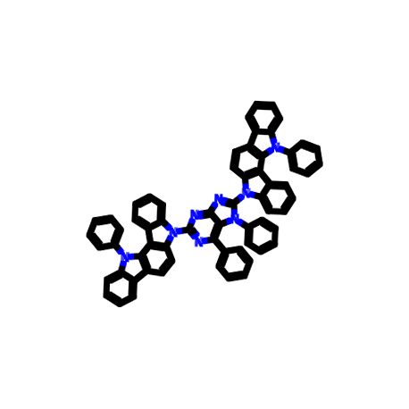 c1ccc(-c2nc(-n3c4ccccc4c4c3ccc3c5ccccc5n(-c5ccccc5)c34)nc3nc(-n4c5ccccc5c5c4ccc4c6ccccc6n(-c6ccccc6)c45)n(-c4ccccc4)c23)cc1